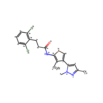 CCOC(=O)c1c(-c2cc(C(F)(F)F)nn2C)csc1NC(=O)CCc1c(Cl)cccc1Cl